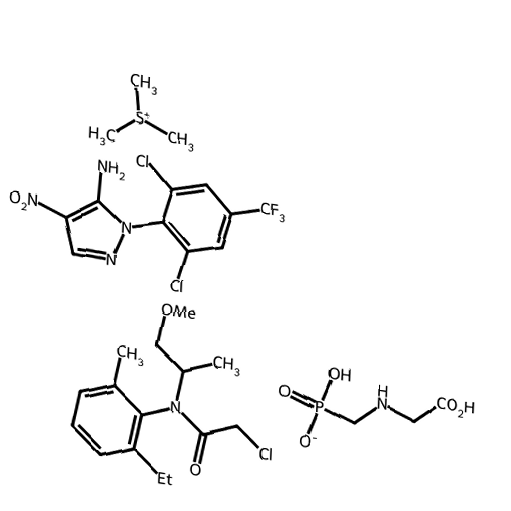 CCc1cccc(C)c1N(C(=O)CCl)C(C)COC.C[S+](C)C.Nc1c([N+](=O)[O-])cnn1-c1c(Cl)cc(C(F)(F)F)cc1Cl.O=C(O)CNCP(=O)([O-])O